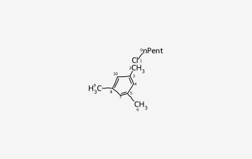 CCCCCCl.Cc1cc(C)cc(C)c1